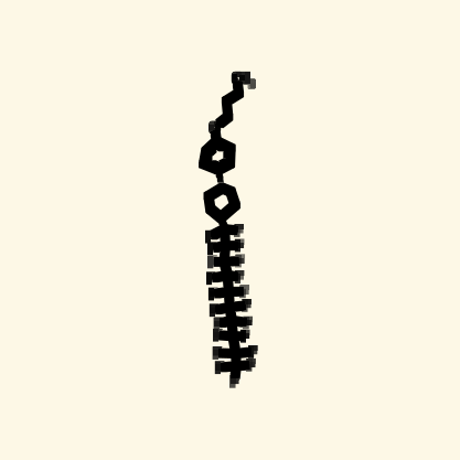 CCCCOc1ccc([C@H]2CC[C@H](C(F)(F)C(F)(F)C(F)(F)C(F)(F)C(F)(F)C(F)(F)C(F)(F)C(F)(F)C(F)(F)C(F)(F)F)CC2)cc1